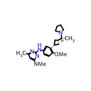 CNc1cc(C)nc(Nc2ccc(OC)c([C@H]3C[C@@H]([C@@H](C)N4CCCC4)C3)c2)n1